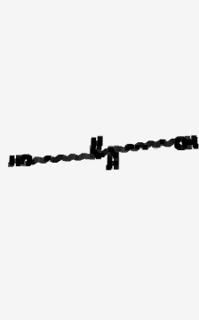 OCCCCCCCCCCCNCCNCCCCCCCCCCCO